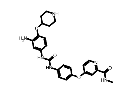 CNC(=O)c1cc(Oc2ccc(NC(=O)Nc3ccc(OC4CCNCC4)c(N)c3)cc2)ccn1